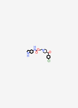 O=C(Nc1ccc2[nH]ccc2c1)OCCN1CCC(C(=O)c2ccc(Cl)cc2)CC1